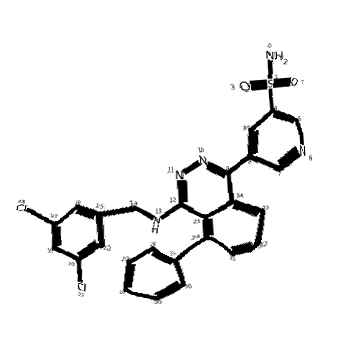 NS(=O)(=O)c1cncc(-c2nnc(NCc3cc(Cl)cc(Cl)c3)c3c(-c4ccccc4)cccc23)c1